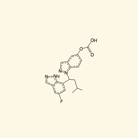 CC(C)CC(c1cc(F)cc2cn[nH]c12)n1ncc2cc(OC(=O)O)ccc21